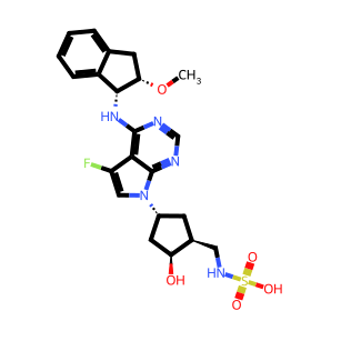 CO[C@H]1Cc2ccccc2[C@H]1Nc1ncnc2c1c(F)cn2[C@@H]1C[C@@H](CNS(=O)(=O)O)[C@@H](O)C1